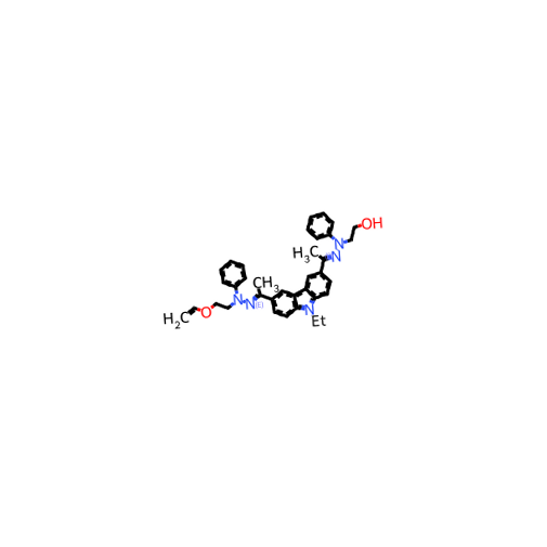 C=COCCN(/N=C(\C)c1ccc2c(c1)c1cc(/C(C)=N/N(CCO)c3ccccc3)ccc1n2CC)c1ccccc1